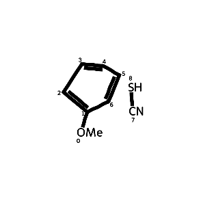 COc1ccccc1.N#CS